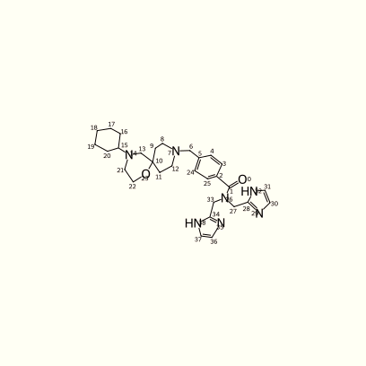 O=C(c1ccc(CN2CCC3(CC2)CN(C2CCCCC2)CCO3)cc1)N(Cc1ncc[nH]1)Cc1ncc[nH]1